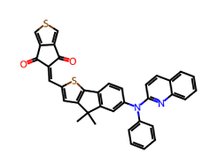 CC1(C)c2cc(N(c3ccccc3)c3ccc4ccccc4n3)ccc2-c2sc(C=C3C(=O)c4cscc4C3=O)cc21